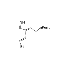 CC/C=C/C(C=N)=C\CCCCCC